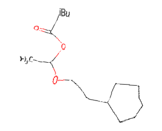 CCC(C)C(=O)OC(C)OCCC1CCCCC1